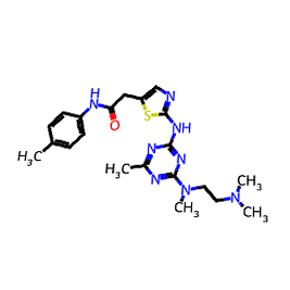 Cc1ccc(NC(=O)Cc2cnc(Nc3nc(C)nc(N(C)CCN(C)C)n3)s2)cc1